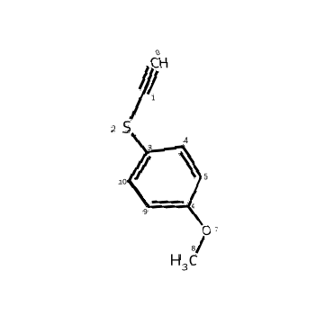 C#CSc1ccc(OC)cc1